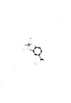 CSC1(C)Nc2cc(C(=O)O)ccc2S1